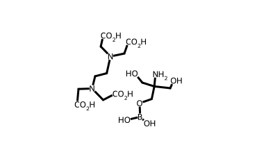 NC(CO)(CO)COB(O)O.O=C(O)CN(CCN(CC(=O)O)CC(=O)O)CC(=O)O